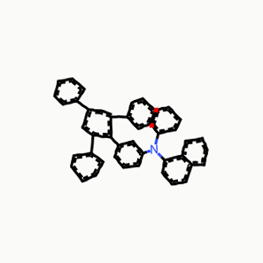 c1ccc(-c2cc(-c3ccccc3)c(-c3cccc(N(c4ccccc4)c4cccc5ccccc45)c3)c(-c3ccccc3)c2)cc1